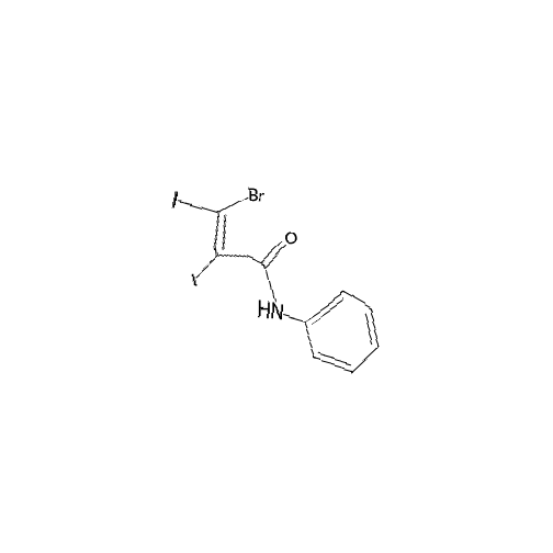 O=C(Nc1ccccc1)/C(I)=C(\Br)I